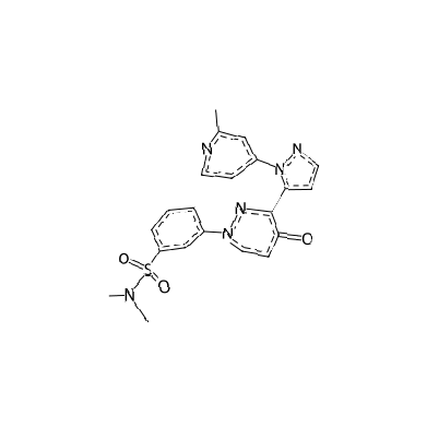 Cc1cc(-n2nccc2-c2nn(-c3cccc(S(=O)(=O)N(C)C)c3)ccc2=O)ccn1